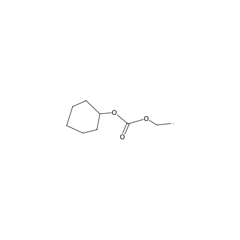 [CH2]COC(=O)OC1CCCCC1